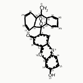 CC12OOC(c3cc4nc5ccc(O)cc5oc-4cc3=O)(C3C=CC=CC31)C1C=CC=CC12